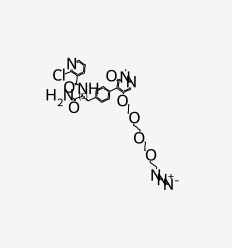 Cn1ncc(OCCOCCOCCOCCN=[N+]=[N-])c(-c2ccc(C[C@H](NC(=O)c3cccnc3Cl)C(N)=O)cc2)c1=O